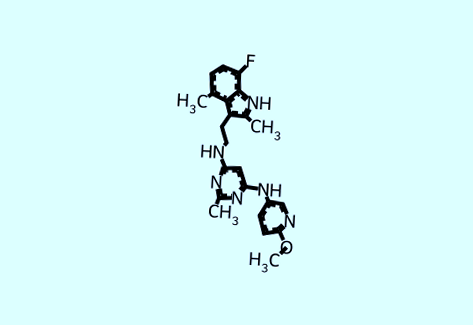 COc1ccc(Nc2cc(NCCc3c(C)[nH]c4c(F)ccc(C)c34)nc(C)n2)cn1